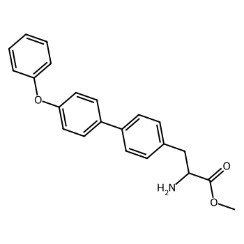 COC(=O)C(N)Cc1ccc(-c2ccc(Oc3ccccc3)cc2)cc1